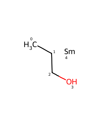 CCCO.[Sm]